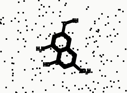 Nc1cc(OS)cc2cc(S(=O)(=O)O)cc(O)c12